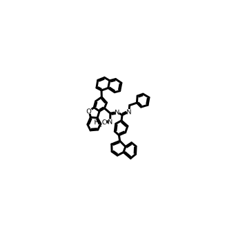 C=N/C(=N\C(=N/Cc1ccccc1)c1ccc(-c2cccc3ccccc23)cc1)c1cc(-c2cccc3ccccc23)cc2oc3ccccc3c12